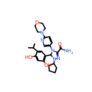 CC(C)c1cc(C2N(c3ccc(N4CCOCC4)nc3)C(C(N)=O)=NN2C2CCCC2)c(O)cc1O